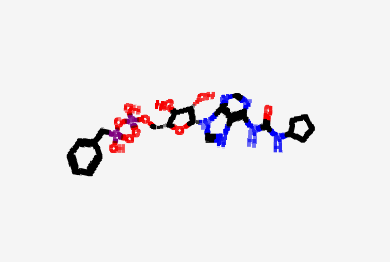 O=C(Nc1ncnc2c1ncn2[C@@H]1O[C@H](COP(=O)(O)OP(=O)(O)Cc2ccccc2)C(O)[C@@H]1O)NC1CCCC1